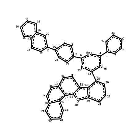 c1ccc(-c2nc(-c3ccc(-c4ccc5ccccc5c4)cc3)nc(-c3cccc4sc5c(ccc6ccc7ccccc7c65)c34)n2)cc1